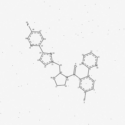 O=C(c1cc(F)ccc1-c1ncccn1)N1CCOC1Cn1ccc(-c2ccc(F)cn2)n1